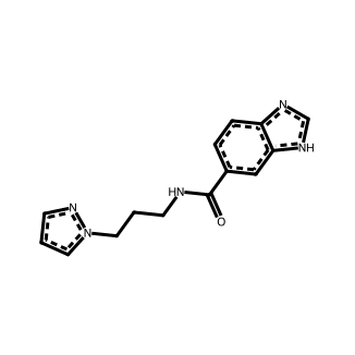 O=C(NCCCn1cccn1)c1ccc2nc[nH]c2c1